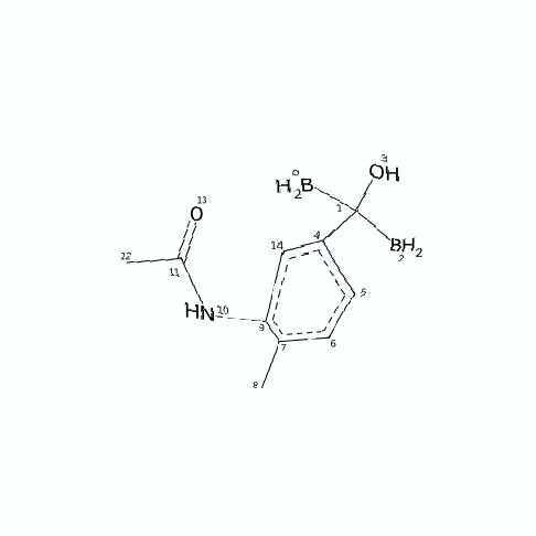 BC(B)(O)c1ccc(C)c(NC(C)=O)c1